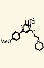 COc1ccc(-c2cc(OCCN3CCCCC3)nc(C)n2)cc1.Cl.Cl